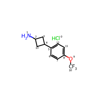 Cl.NC1CC(c2ccc(OC(F)(F)F)cc2)C1